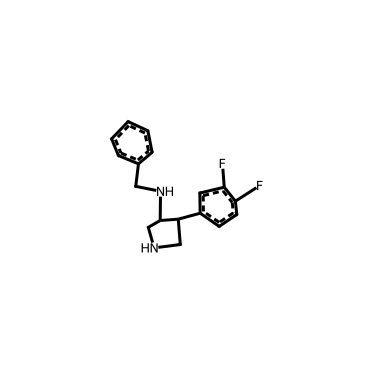 Fc1ccc(C2CNCC2NCc2ccccc2)cc1F